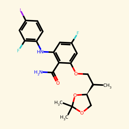 CC(COc1cc(F)cc(Nc2ccc(I)cc2F)c1C(N)=O)[C@H]1COC(C)(C)O1